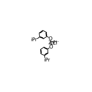 CC(C)c1cccc([O][Zr+2][O]c2cccc(C(C)C)c2)c1.[Cl-].[Cl-]